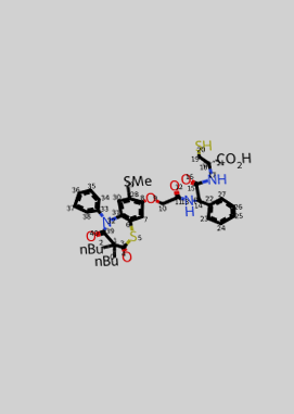 CCCCC1(CCCC)C(=O)Sc2cc(OCC(=O)N[C@@H](C(=O)N[C@H](CS)C(=O)O)c3ccccc3)c(SC)cc2N(c2ccccc2)C1=O